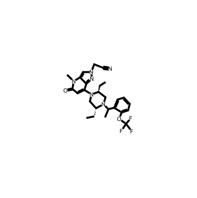 CC[C@H]1CN(C(C)c2ccccc2OC(F)(F)F)[C@H](CC)CN1c1cc(=O)n(C)c2cn(CC#N)nc12